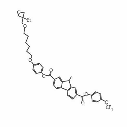 CCC1(COCCCCCCOc2ccc(OC(=O)c3ccc4c(c3)C(C)c3cc(C(=O)Oc5ccc(OC(F)(F)F)cc5)ccc3-4)cc2)COC1